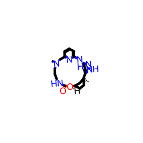 CN1CCCNC(=O)O[C@@H]2CC[C@@](C)(C2)c2cc(n[nH]2)Nc2cccc(n2)C1